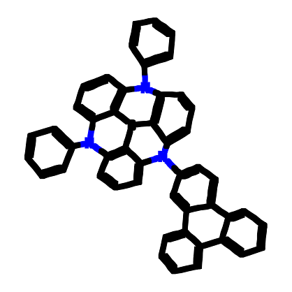 c1ccc(N2c3cccc4c3B3c5c2cccc5N(c2ccc5c6ccccc6c6ccccc6c5c2)c2cccc(c23)N4c2ccccc2)cc1